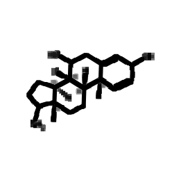 C[C@]12C=CC(O)C=C1CC(O)[C@@H]1[C@H]2CC[C@]2(C)C(N)CC[C@@H]12